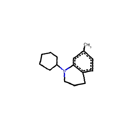 Cc1ccc2c(c1)N(C1CCCCC1)CCC2